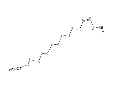 O=C(O)CCCCCCCCCCC/C=C\CO